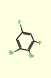 Fc1cc(F)c(Br)c(Br)c1